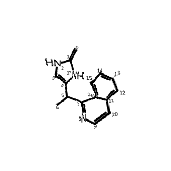 C=C1NC=C(C(C)c2nccc3ccccc23)N1